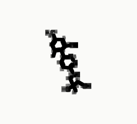 Cc1cc(C(F)(F)F)cc(O)c1-c1ccc(NCC(C)(O)CO)nn1